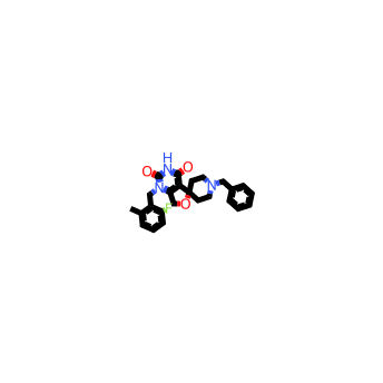 Cc1cccc(F)c1Cn1c2c(c(=O)[nH]c1=O)C1(CCN(Cc3ccccc3)CC1)OC2